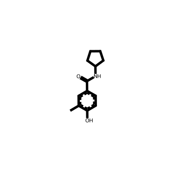 Cc1cc(C(=O)NC2CCCC2)ccc1O